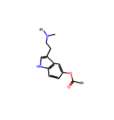 CC(C)C(=O)Oc1ccc2[nH]cc(CCN(C)C(C)C)c2c1